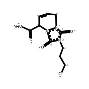 COC(=O)C1C=CCn2c(=O)n(CCCCl)c(=O)n21